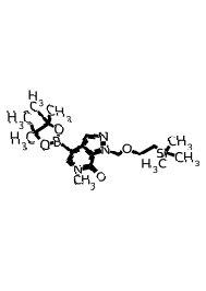 Cn1cc(B2OC(C)(C)C(C)(C)O2)c2cnn(COCC[Si](C)(C)C)c2c1=O